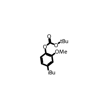 CCC(C)c1ccc(OC(=O)OC(C)(C)C)c(OC)c1